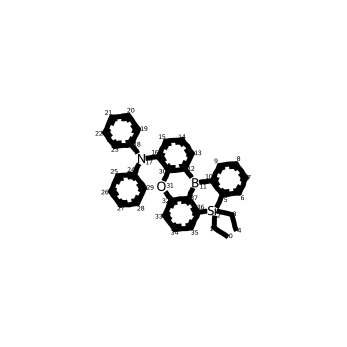 CC[Si]1(CC)c2ccccc2B2c3cccc(N(c4ccccc4)c4ccccc4)c3Oc3cccc1c32